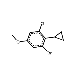 COc1cc(Cl)c(C2CC2)c(Br)c1